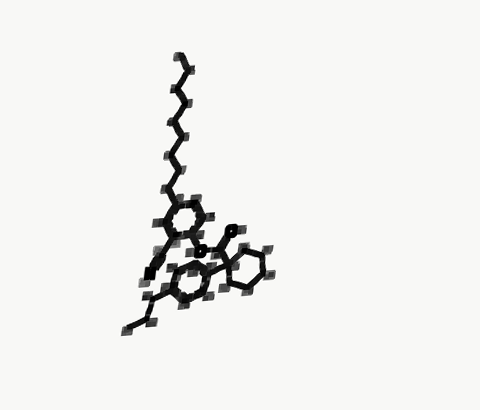 CCCCCCCCCc1ccc(OC(=O)C2(c3ccc(CCC)cc3)CCCCC2)c(C#N)c1